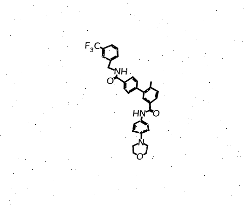 Cc1ccc(C(=O)Nc2ccc(N3CCOCC3)cc2)cc1-c1ccc(C(=O)NCc2cccc(C(F)(F)F)c2)cc1